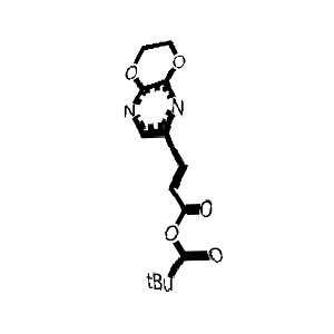 CC(C)(C)C(=O)OC(=O)/C=C/c1cnc2c(n1)OCCO2